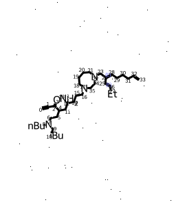 C#CC(=O)C(CCN(CCCC)CC(C)CC)CC(N)CCCN1CCCCN(CC(/C=C/CC)=C/CCCC=C)CC1